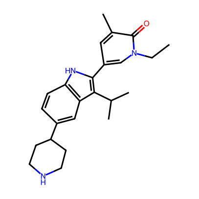 CCn1cc(-c2[nH]c3ccc(C4CCNCC4)cc3c2C(C)C)cc(C)c1=O